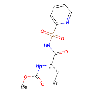 CC(C)C[C@H](NC(=O)OC(C)(C)C)C(=O)NS(=O)(=O)c1ccccn1